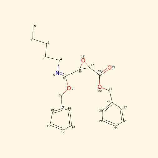 CCCCCN=C(OCc1ccccc1)C1OC1C(=O)OCc1ccccc1